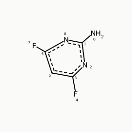 Nc1nc(F)cc(F)n1